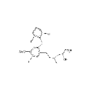 COc1cc(Cc2c(F)cccc2Cl)c(CCC(C)CC(O)C(=O)O)cc1F